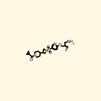 NC/C(=C/F)COc1ccc(S(=O)(=O)N2CC(C3CCN(C(=O)C4CC4)CC3)C2)cn1